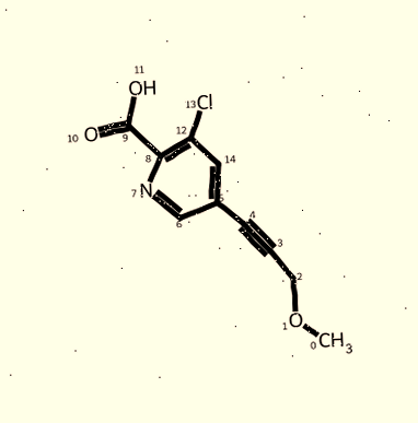 COCC#Cc1cnc(C(=O)O)c(Cl)c1